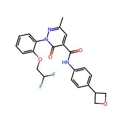 Cc1cc(C(=O)Nc2ccc(C3COC3)cc2)c(=O)n(-c2ccccc2OCC(F)F)n1